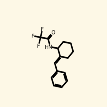 O=C(NC1CCCC/C1=C\c1ccccc1)C(F)(F)F